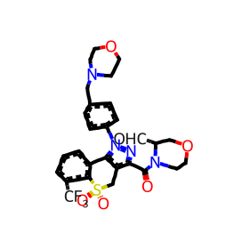 O=CC1COCCN1C(=O)c1nn(-c2ccc(CN3CCOCC3)cc2)c2c1CS(=O)(=O)c1c-2cccc1C(F)(F)F